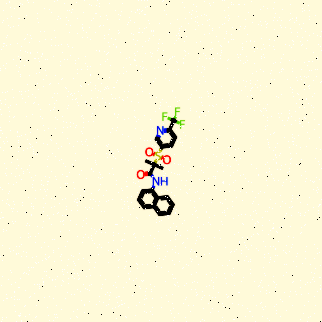 CC(C)(C(=O)Nc1cccc2ccccc12)S(=O)(=O)c1ccc(C(F)(F)F)nc1